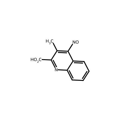 Cc1c(C(=O)O)nc2ccccc2c1N=O